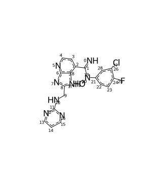 N=C(c1ccnc2nc(CNc3ncccn3)[nH]c12)N(O)c1ccc(F)c(Cl)c1